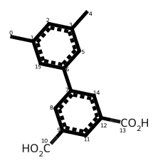 Cc1cc(C)cc(-c2cc(C(=O)O)cc(C(=O)O)c2)c1